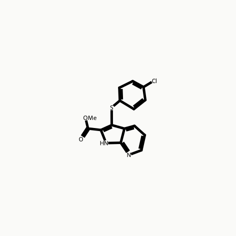 COC(=O)c1[nH]c2ncccc2c1Sc1ccc(Cl)cc1